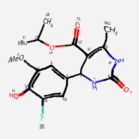 COc1cc(C2NC(=O)NC(C)=C2C(=O)OC(C)C(C)(C)C)cc(F)c1O